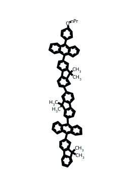 CCCOc1ccc(-c2c3ccccc3c(-c3ccc4c(c3)C(C)(C)c3cc(-c5ccc6c(c5)C(C)(C)c5cc(-c7c8ccccc8c(-c8ccc9c(c8)C(C)(C)c8ccccc8-9)c8ccccc78)ccc5-6)ccc3-4)c3ccccc23)cc1